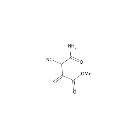 C=C(C(=O)OC)C(C#N)C(N)=O